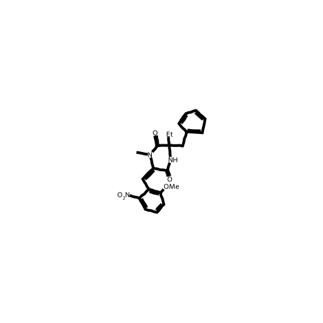 CCC1(Cc2ccccc2)NC(=O)C(=Cc2c(OC)cccc2[N+](=O)[O-])N(C)C1=O